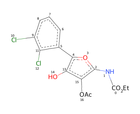 CCOC(=O)Nc1oc(-c2cccc(Cl)c2Cl)c(O)c1OC(C)=O